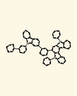 c1ccc(-c2cccc(-n3c4ccccc4c4ccc(-c5cccc(-c6cc7c(c8ccccc8n7-c7ccccc7)c7c8ccccc8n(-c8ccccc8)c67)c5)cc43)c2)cc1